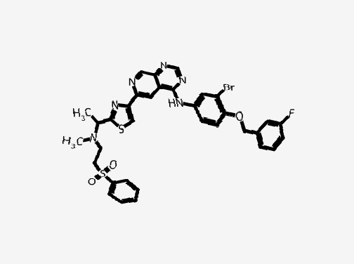 CC(c1nc(-c2cc3c(Nc4ccc(OCc5cccc(F)c5)c(Br)c4)ncnc3cn2)cs1)N(C)CCS(=O)(=O)c1ccccc1